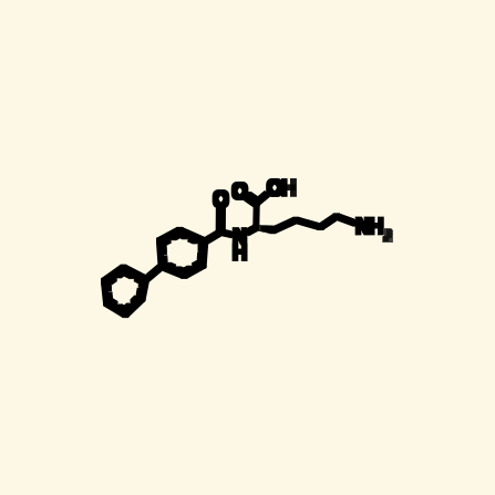 NCCCC[C@@H](NC(=O)c1ccc(-c2ccccc2)cc1)C(=O)O